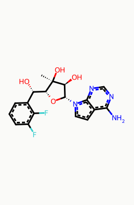 C[C@@]1(O)[C@@H]([C@@H](O)c2cccc(F)c2F)O[C@@H](n2ccc3c(N)ncnc32)[C@@H]1O